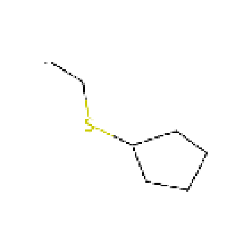 [CH2]CSC1CCCC1